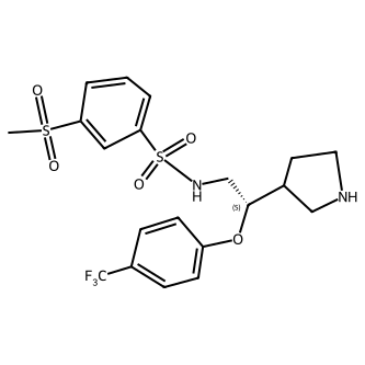 CS(=O)(=O)c1cccc(S(=O)(=O)NC[C@@H](Oc2ccc(C(F)(F)F)cc2)C2CCNC2)c1